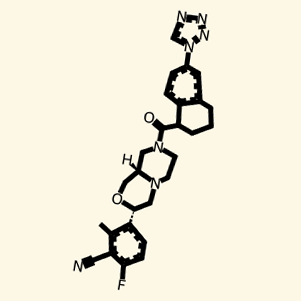 Cc1c([C@H]2CN3CCN(C(=O)C4CCCc5cc(-n6cnnn6)ccc54)C[C@H]3CO2)ccc(F)c1C#N